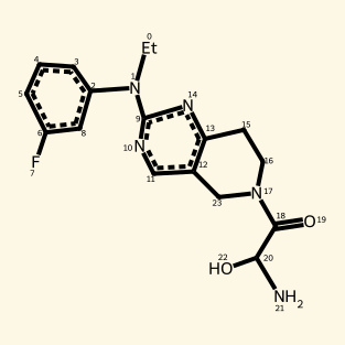 CCN(c1cccc(F)c1)c1ncc2c(n1)CCN(C(=O)C(N)O)C2